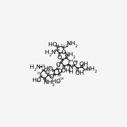 NC[C@@H]1C[C@@H](O)[C@@H](N)[C@@H](O[C@H]2[C@H](O[C@@H]3O[C@H](CO)[C@@H](O[C@H]4O[C@@H](CN)C[C@H](O)[C@H]4N)[C@H]3O)[C@@H](O)[C@H](NC(=O)[C@@H](O)[C@H](O)CN)C[C@@H]2N)O1